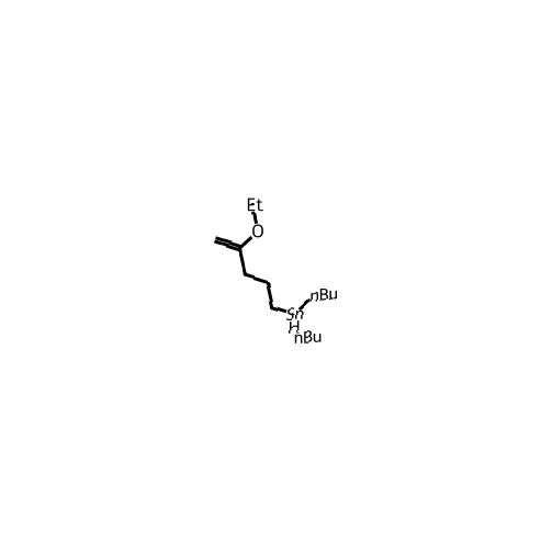 C=C(CC[CH2][SnH]([CH2]CCC)[CH2]CCC)OCC